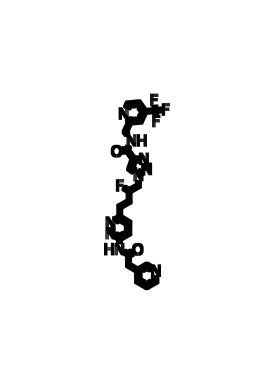 O=C(Cc1cccnc1)Nc1ccc(CCC(F)Cn2cc(C(=O)NCc3cc(C(F)(F)F)ccn3)nn2)nn1